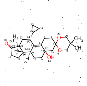 CC1(C)COC2(CCC3=C4[C@@H](CC[C@@]3(O)C2)[C@@H]2CCC(=O)[C@@]2(C)C[C@@H]4C2CC2)OC1